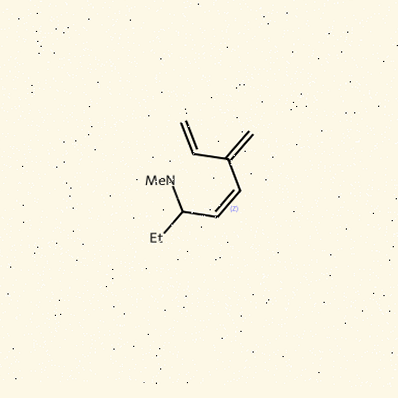 C=CC(=C)/C=C\C(CC)NC